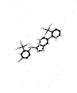 Fc1ccc(Nc2nnc3cc(-c4ncccc4C(F)(F)F)cnn23)c(C(F)(F)F)c1